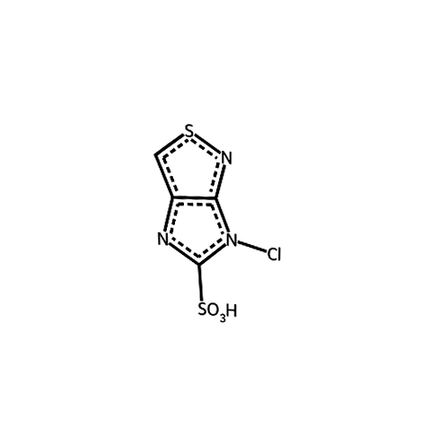 O=S(=O)(O)c1nc2csnc2n1Cl